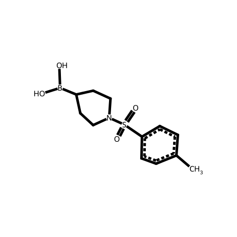 Cc1ccc(S(=O)(=O)N2CCC(B(O)O)CC2)cc1